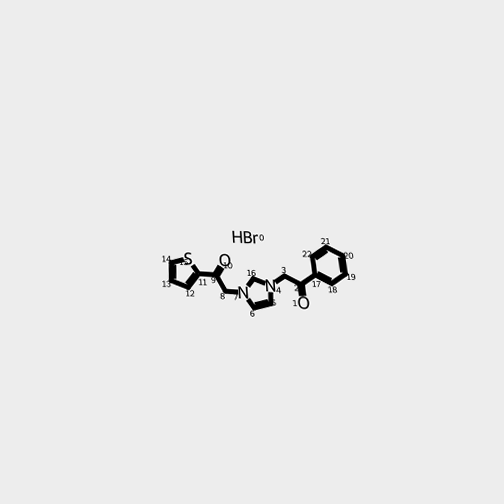 Br.O=C(CN1C=CN(CC(=O)c2cccs2)C1)c1ccccc1